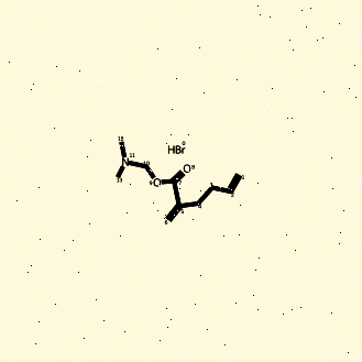 Br.C=CCCC(=C)C(=O)OCN(C)C